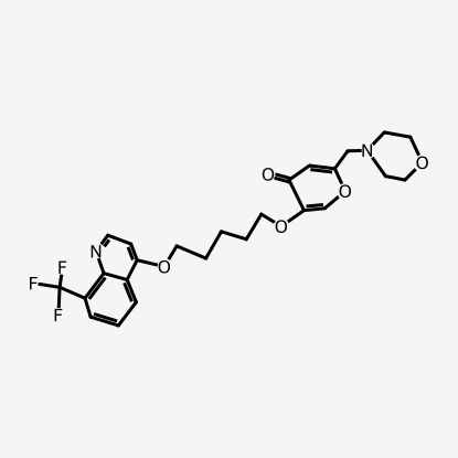 O=c1cc(CN2CCOCC2)occ1OCCCCCOc1ccnc2c(C(F)(F)F)cccc12